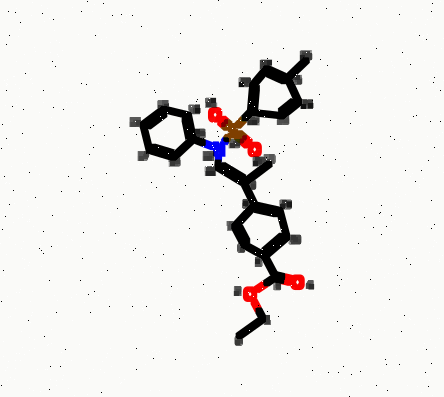 CCOC(=O)c1ccc(C(C)=CN(c2ccccc2)S(=O)(=O)c2ccc(C)cc2)cc1